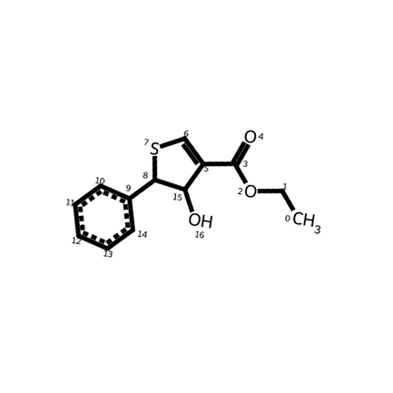 CCOC(=O)C1=CSC(c2ccccc2)C1O